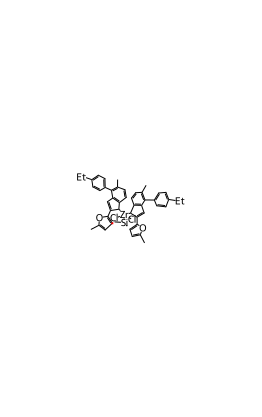 CCc1ccc(-c2c(C)ccc3c2C=C(c2ccc(C)o2)[CH]3[Zr]([Cl])([Cl])([CH]2C(c3ccc(C)o3)=Cc3c2ccc(C)c3-c2ccc(CC)cc2)=[Si](C)C)cc1